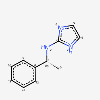 C[C@@H](Nc1ncc[nH]1)c1ccccc1